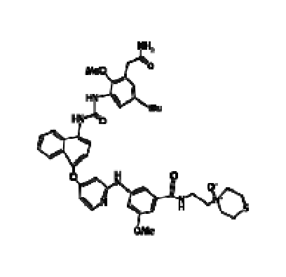 COc1cc(Nc2cc(Oc3ccc(NC(=O)Nc4cc(C(C)(C)C)cc(CC(N)=O)c4OC)c4ccccc34)ccn2)cc(C(=O)NCC[N+]2([O-])CCSCC2)c1